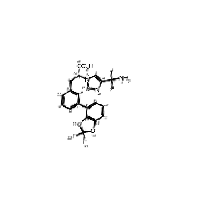 CC(C)(N)c1cn([C@@H](Cc2cccc(-c3cccc4c3OC(F)(F)O4)c2)C(=O)O)nn1